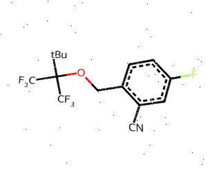 CC(C)(C)C(OCc1ccc(F)cc1C#N)(C(F)(F)F)C(F)(F)F